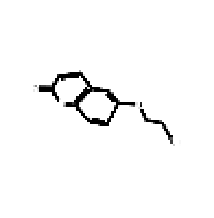 O=c1ccc2cc(OCCO)ccc2o1